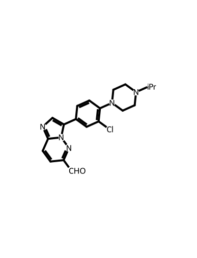 CC(C)N1CCN(c2ccc(-c3cnc4ccc(C=O)nn34)cc2Cl)CC1